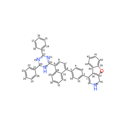 C1=C(c2ccc(-c3ccc(C4=NC(c5ccccc5)=NC(c5ccccc5)N4)c4ccccc34)cc2)c2c(oc3ccccc23)CN1